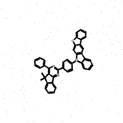 CC1(C)c2ccccc2-c2nc(-c3ccc(-n4c5ccccc5c5cc6c(cc54)oc4ccccc46)cc3)nc(-c3ccccc3)c21